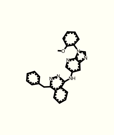 COc1ccccc1-n1cnc2cc(Nc3nnc(Cc4ccccc4)c4ccccc34)cnc21